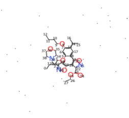 CCCCOc1cc(OCCCC)c(C(C)C)cc1-c1onc(C(=O)OCC)c1-c1cc(CN2CCOCC2)no1